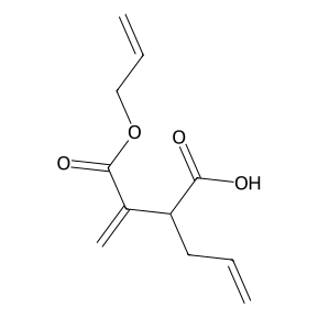 C=CCOC(=O)C(=C)C(CC=C)C(=O)O